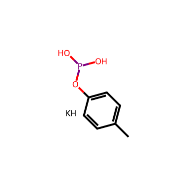 Cc1ccc(OP(O)O)cc1.[KH]